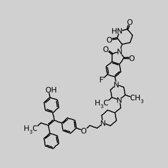 CCC(=C(c1ccc(O)cc1)c1ccc(OCCN2CCC(CN3C(C)CN(c4cc5c(cc4F)C(=O)N(C4CCC(=O)NC4=O)C5=O)CC3C)CC2)cc1)c1ccccc1